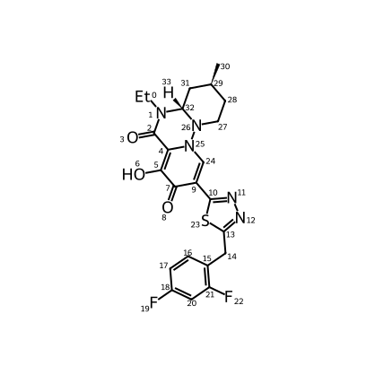 CCN1C(=O)c2c(O)c(=O)c(-c3nnc(Cc4ccc(F)cc4F)s3)cn2N2CC[C@H](C)C[C@@H]12